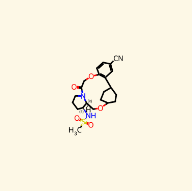 CS(=O)(=O)N[C@H]1CCCN2C(=O)COc3ccc(C#N)cc3C3CCC(CC3)OC[C@@H]12